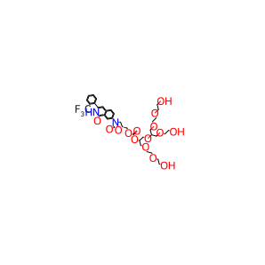 O=C(OC[C@@H]1CN(c2ccc3cc(-c4ccccc4C(F)(F)F)[nH]c(=O)c3c2)C(=O)O1)OC(COCCOCCO)COC(COCCO)COCCOCCO